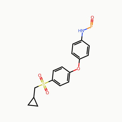 O=PNc1ccc(Oc2ccc(S(=O)(=O)CC3CC3)cc2)cc1